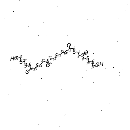 O=C(CSCC[S+]([O-])CSCSCO)SCCSCC[S+]([O-])CCSCC(=O)SSCSCO